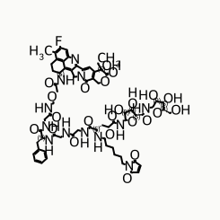 CC[C@@]1(O)C(=O)OCc2c1cc1n(c2=O)Cc2c-1nc1cc(F)c(C)c3c1c2[C@@H](NC(=O)COCNC(=O)CNC(=O)[C@H](Cc1ccccc1)NC(=O)CNC(=O)CNC(=O)[C@H](CCC(=O)NC1O[C@H](C(=O)NC2O[C@H](CO)[C@@H](O)[C@H]2O)[C@@H](O)[C@H]1O)NC(=O)CCCCCN1C(=O)C=CC1=O)CC3